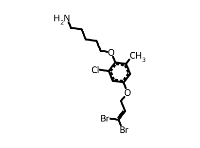 Cc1cc(OCC=C(Br)Br)cc(Cl)c1OCCCCCN